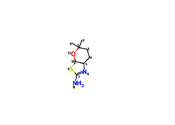 CC1(C)CCC2N=C(N)SC2O1